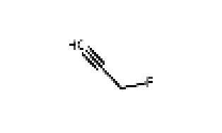 C#C[C]F